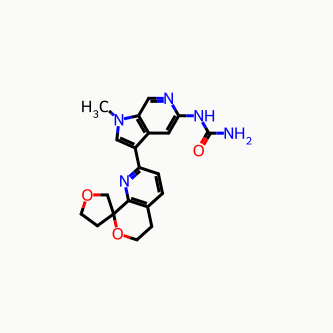 Cn1cc(-c2ccc3c(n2)C2(CCOC2)OCC3)c2cc(NC(N)=O)ncc21